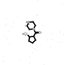 CC1CCCC1C(=O)N1CCNCC1